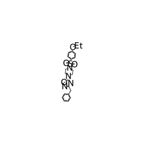 CCOc1ccc(S(=O)(=O)N2CCN(c3nc(Cc4ccccc4)no3)CC2)cc1